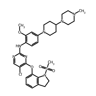 COc1cc(N2CCC(N3CCN(C)CC3)CC2)ccc1Nc1ncc(Cl)c(Oc2cccc3c2N(S(C)(=O)=O)CC3)n1